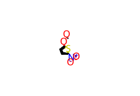 O=COc1ccc([N+](=O)[O-])s1